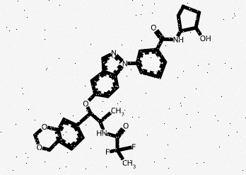 CC(NC(=O)C(C)(F)F)C(Oc1ccc2c(cnn2-c2cccc(C(=O)NC3CCCC3O)c2)c1)c1ccc2c(c1)OCOC2